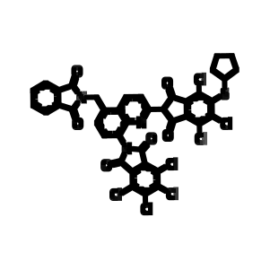 O=C1c2c(Cl)c(Cl)c(SC3CCCC3)c(Cl)c2C(=O)C1c1ccc2c(CN3C(=O)c4ccccc4C3=O)ccc(N3C(=O)c4c(Cl)c(Cl)c(Cl)c(Cl)c4C3=O)c2n1